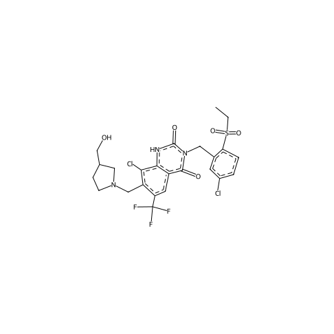 CCS(=O)(=O)c1ccc(Cl)cc1Cn1c(=O)[nH]c2c(Cl)c(CN3CCC(CO)C3)c(C(F)(F)F)cc2c1=O